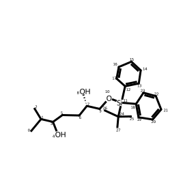 CC(C)C(O)CC[C@H](O)CO[Si](c1ccccc1)(c1ccccc1)C(C)(C)C